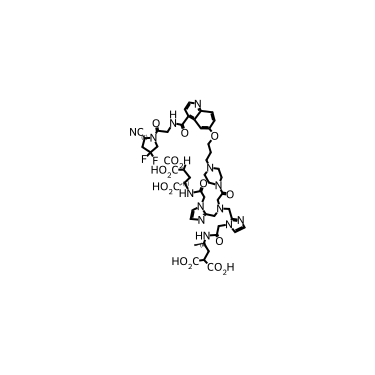 C[C@H](CC(C(=O)O)C(=O)O)NC(=O)Cn1ccnc1CN(CC(=O)N1CCN(CCCOc2ccc3nccc(C(=O)NCC(=O)N4CC(F)(F)C[C@H]4C#N)c3c2)CC1)Cc1nccn1CC(=O)N[C@@H](CC(C(=O)O)C(=O)O)C(=O)O